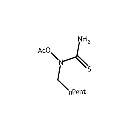 CCCCCCN(OC(C)=O)C(N)=S